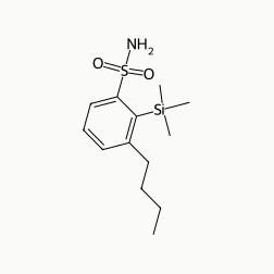 CCCCc1cccc(S(N)(=O)=O)c1[Si](C)(C)C